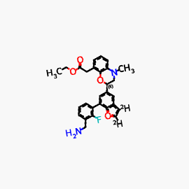 [2H]c1oc2c(-c3cccc(CN)c3F)cc([C@@H]3CN(C)c4cccc(CC(=O)OCC)c4O3)cc2c1[2H]